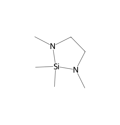 CN1CCN(C)[Si]1(C)C